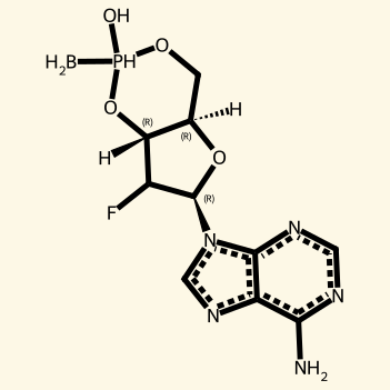 B[PH]1(O)OC[C@H]2O[C@@H](n3cnc4c(N)ncnc43)C(F)[C@@H]2O1